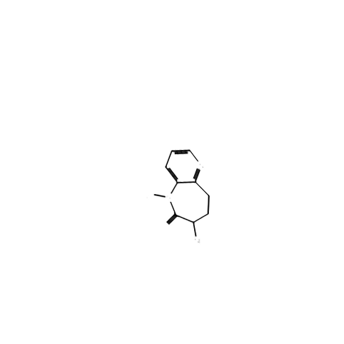 CN1C(=O)C([NH])CCc2ncccc21